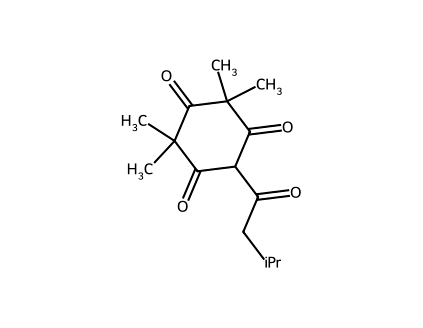 CC(C)CC(=O)C1C(=O)C(C)(C)C(=O)C(C)(C)C1=O